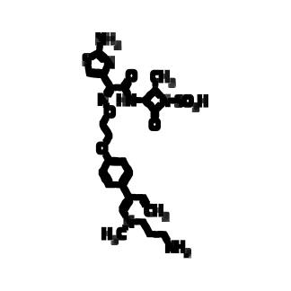 C=C/C(=C\N(C)CCCN)c1ccc(OCCO/N=C(\C(=O)N[C@@H]2C(=O)N(S(=O)(=O)O)[C@@H]2C)c2csc(N)n2)cc1